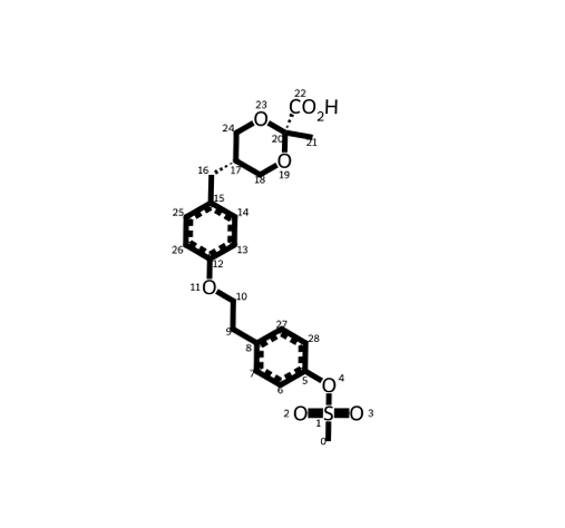 CS(=O)(=O)Oc1ccc(CCOc2ccc(C[C@H]3CO[C@@](C)(C(=O)O)OC3)cc2)cc1